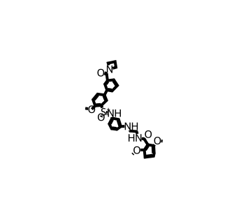 COc1ccc(-c2cccc(C(=O)N3CCC3)c2)cc1[S+]([O-])Nc1cccc(NCCNC(=O)c2c(OC)cccc2OC)c1